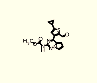 COC(=O)Nc1nc(-c2cc(C3CC3)sc2C=O)c2cccn2n1